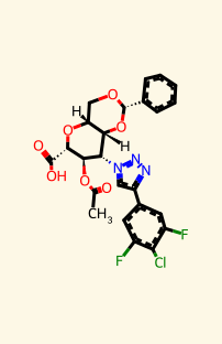 CC(=O)O[C@@H]1[C@@H](n2cc(-c3cc(F)c(Cl)c(F)c3)nn2)[C@H]2O[C@@H](c3ccccc3)OC[C@H]2O[C@H]1C(=O)O